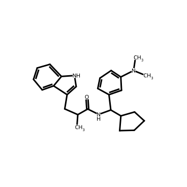 CC(Cc1c[nH]c2ccccc12)C(=O)NC(c1cccc(N(C)C)c1)C1CCCC1